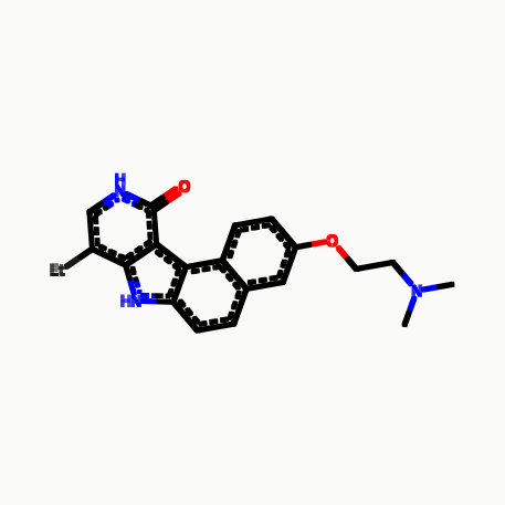 CCc1c[nH]c(=O)c2c1[nH]c1ccc3cc(OCCN(C)C)ccc3c12